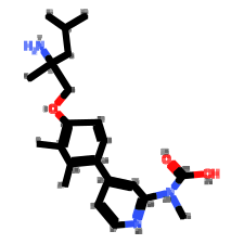 Cc1c(OCC(C)(N)CC(C)C)ccc(-c2ccnc(N(C)C(=O)O)c2)c1C